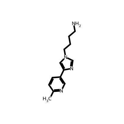 Cc1ccc(-c2cn(CCCCN)cn2)cn1